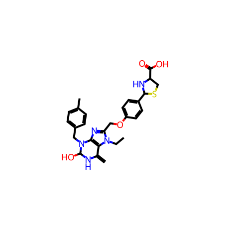 C=C1NC(O)N(Cc2ccc(C)cc2)c2nc(COc3ccc(C4NC(C(=O)O)CS4)cc3)n(CC)c21